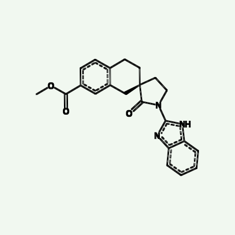 COC(=O)c1ccc2c(c1)C[C@@]1(CC2)CCN(c2nc3ccccc3[nH]2)C1=O